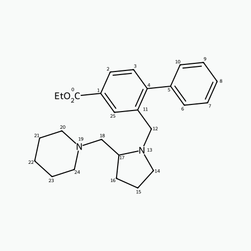 CCOC(=O)c1ccc(-c2ccccc2)c(CN2CCCC2CN2CCCCC2)c1